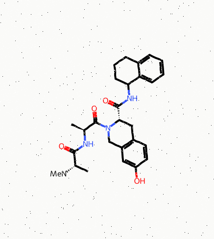 CN[C@@H](C)C(=O)N[C@@H](C)C(=O)N1Cc2cc(O)ccc2C[C@H]1C(=O)NC1CCCc2ccccc21